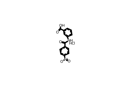 Cl.O=C(O)c1cccc(NC(=O)c2ccc([N+](=O)[O-])cc2)c1